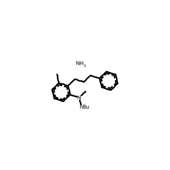 CCCCN(C)c1cccc(C)c1CCCc1ccccc1.N